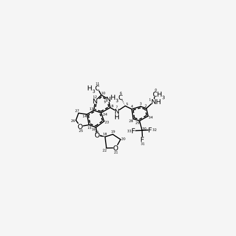 CNc1cc([C@@H](C)Nc2nc(C)nc3c4c(c(O[C@H]5CCOC5)cc23)OCC4)cc(C(F)(F)F)c1